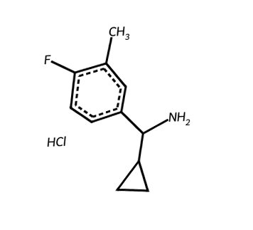 Cc1cc(C(N)C2CC2)ccc1F.Cl